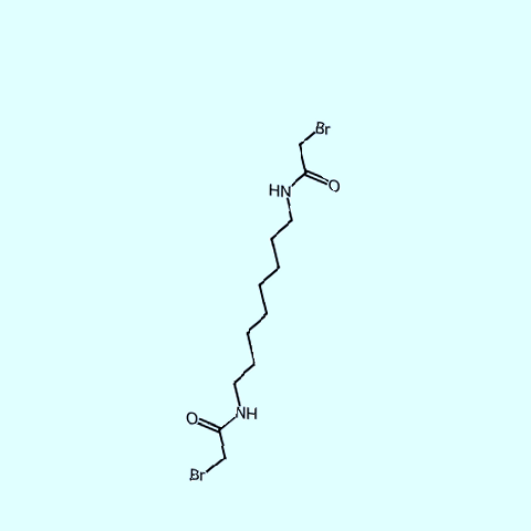 O=C(CBr)NCCCCCCCCNC(=O)CBr